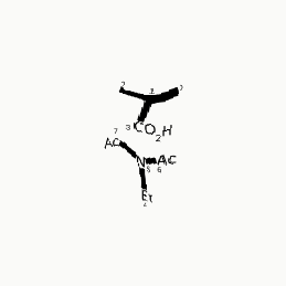 C=C(C)C(=O)O.CCN(C(C)=O)C(C)=O